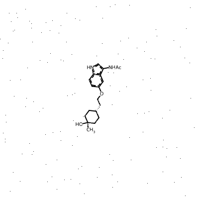 CC(=O)Nc1c[nH]c2ccc(OCC[C@H]3CC[C@@](C)(O)CC3)cc12